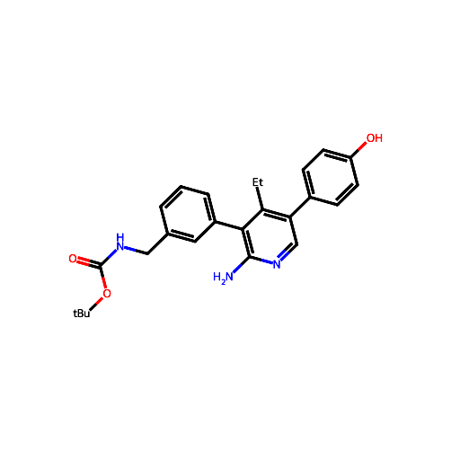 CCc1c(-c2ccc(O)cc2)cnc(N)c1-c1cccc(CNC(=O)OC(C)(C)C)c1